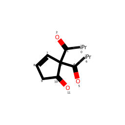 CC(C)C(=O)C1(C(=O)C(C)C)C=CCC1=O